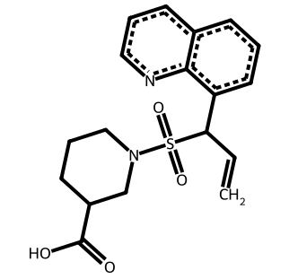 C=CC(c1cccc2cccnc12)S(=O)(=O)N1CCCC(C(=O)O)C1